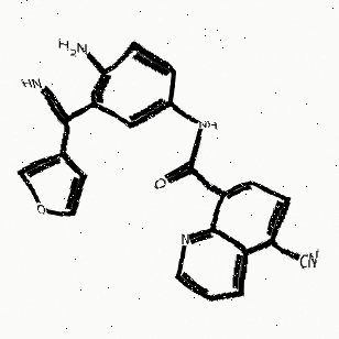 N#Cc1ccc(C(=O)Nc2ccc(N)c(C(=N)c3ccoc3)c2)c2ncccc12